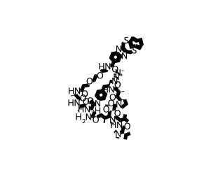 CC[C@H](C)[C@@H]([C@@H](CC(=O)N1CCC[C@H]1[C@H](OC)[C@@H](C)C(=O)N[C@H](CN=[N+]=[N-])Cc1ccc(NC(=O)[C@H](CC(N)=O)NC(=O)[C@H](C)NC(=O)[C@H](C)NC(=O)CCOCCOCCNC(=O)c2ccc3nc4c(nc3c2)CSC2=C\C=C/C=C/C(=C\2)SC4)cc1)OC)N(C)C(=O)[C@@H](NC(=O)[C@H](C(C)C)N(C)C)C(C)C